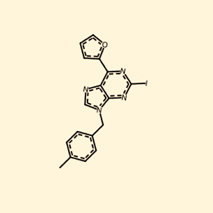 Cc1ccc(Cn2cnc3c(-c4ccco4)nc(I)nc32)cc1